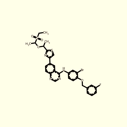 CCS(=O)(=O)C(C)OC(C)c1nc(-c2ccc3ncnc(Nc4ccc(OCc5cccc(F)c5)c(Br)c4)c3c2)cs1